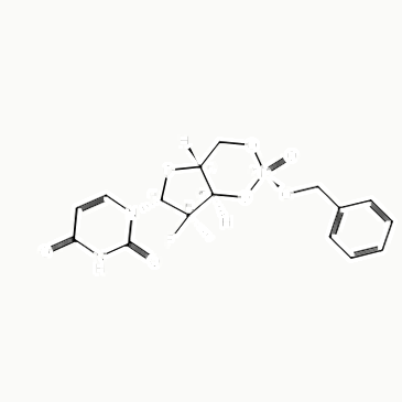 C[C@@]1(F)[C@@H]2O[P@](=O)(OCc3ccccc3)OC[C@H]2O[C@H]1n1ccc(=O)[nH]c1=O